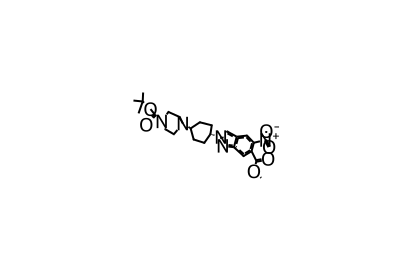 COC(=O)c1cc2nn([C@H]3CC[C@H](N4CCN(C(=O)OC(C)(C)C)CC4)CC3)cc2cc1[N+](=O)[O-]